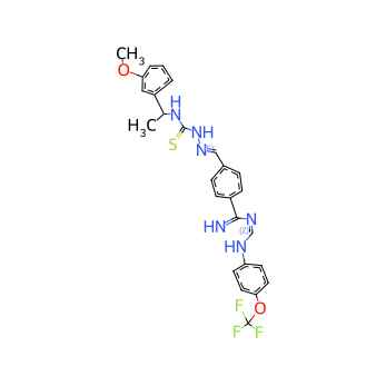 COc1cccc(C(C)NC(=S)N/N=C/c2ccc(C(=N)/N=C\Nc3ccc(OC(F)(F)F)cc3)cc2)c1